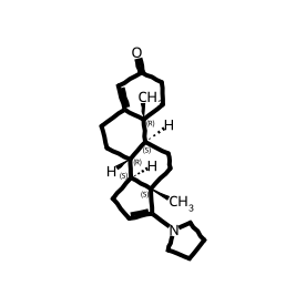 C[C@]12CCC(=O)C=C1CC[C@@H]1[C@@H]2CC[C@]2(C)C(N3CCCC3)=CC[C@@H]12